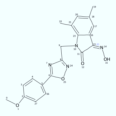 COc1ccc(-c2nc(CN3C(=O)/C(=N\O)c4cc(C)cc(C)c43)no2)cc1